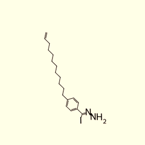 C=CCCCCCCCCCCc1ccc(/C(I)=N/N)cc1